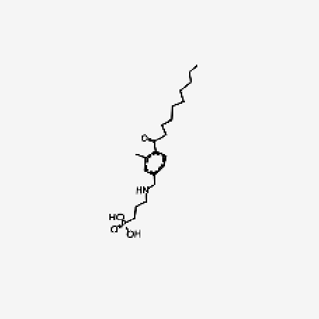 CCCCCCCCCC(=O)c1ccc(CNCCCP(=O)(O)O)cc1C